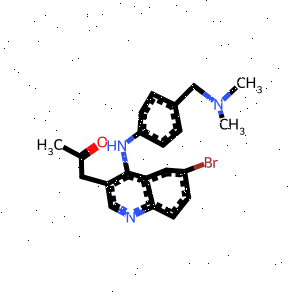 CC(=O)Cc1cnc2ccc(Br)cc2c1Nc1ccc(CN(C)C)cc1